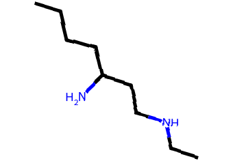 CCCCC(N)CCNCC